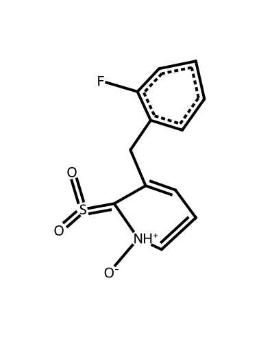 O=S(=O)=C1C(Cc2ccccc2F)=CC=C[NH+]1[O-]